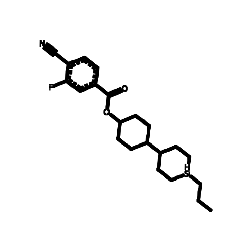 CCC[SiH]1CCC(C2CCC(OC(=O)c3ccc(C#N)c(F)c3)CC2)CC1